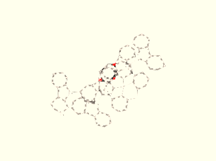 c1cc2c(c(-n3c4ccccc4c4ccccc43)c1)C1(c3cc(-n4c5ccccc5c5ccccc54)cnc3-c3ncc(-n4c5ccccc5c5ccccc54)cc31)c1c(cccc1-n1c3ccccc3c3cc(-n4c5ccccc5c5ccncc54)ccc31)O2